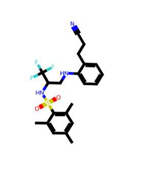 Cc1cc(C)c(S(=O)(=O)NC(CNc2ccccc2CCC#N)C(F)(F)F)c(C)c1